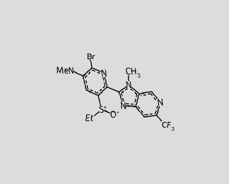 CC[S+]([O-])c1cc(NC)c(Br)nc1-c1nc2cc(C(F)(F)F)ncc2n1C